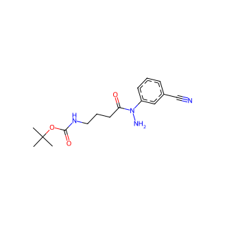 CC(C)(C)OC(=O)NCCCC(=O)N(N)c1cccc(C#N)c1